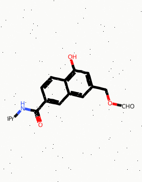 CC(C)NC(=O)c1ccc2c(O)cc(COC=O)cc2c1